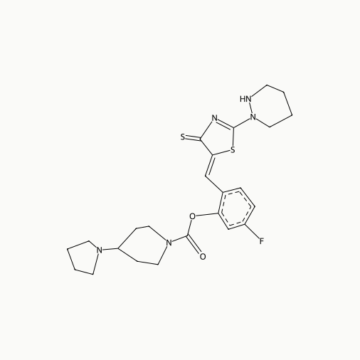 O=C(Oc1cc(F)ccc1/C=C1\SC(N2CCCCN2)=NC1=S)N1CCC(N2CCCC2)CC1